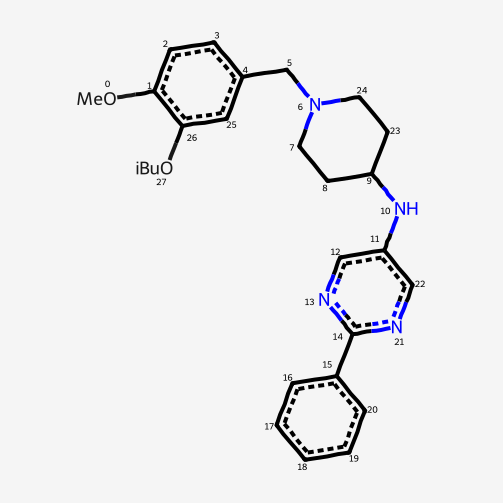 COc1ccc(CN2CCC(Nc3cnc(-c4ccccc4)nc3)CC2)cc1OCC(C)C